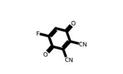 N#CC1=C(C#N)C(=O)C(F)=CC1=O